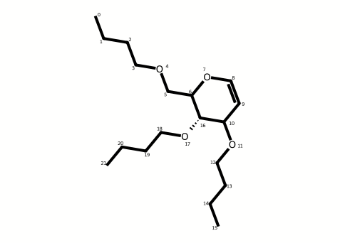 CCCCOCC1OC=CC(OCCCC)[C@@H]1OCCCC